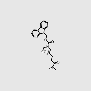 CN(C)C(=O)CCCCN(CC(=O)O)C(=O)OCC1c2ccccc2-c2ccccc21